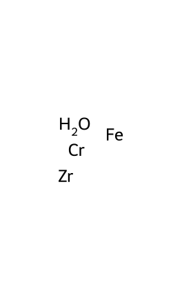 O.[Cr].[Fe].[Zr]